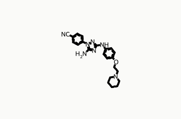 N#Cc1ccc(-n2nc(Nc3ccc(OCCN4CCCCC4)cc3)nc2N)cc1